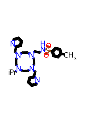 Cc1ccc(S(=O)(=O)NCCN2CCN(Cc3ccccn3)CCN(C(C)C)CCN(Cc3ccccn3)CC2)cc1